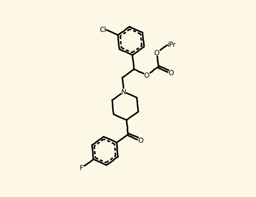 CC(C)OC(=O)OC(CN1CCC(C(=O)c2ccc(F)cc2)CC1)c1cccc(Cl)c1